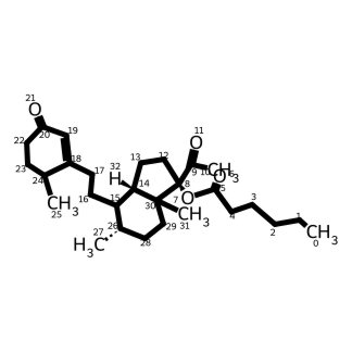 CCCCCC(=O)O[C@]1(C(C)=O)CC[C@H]2C(CCC3=CC(=O)CCC3C)[C@@H](C)CCC21C